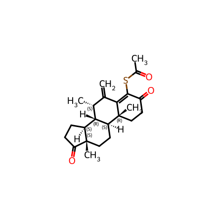 C=C1C2=C(SC(C)=O)C(=O)CC[C@]2(C)[C@H]2CC[C@]3(C)C(=O)CC[C@H]3[C@@H]2[C@@H]1C